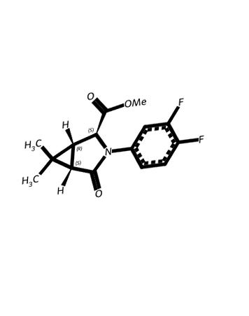 COC(=O)[C@@H]1[C@@H]2[C@H](C(=O)N1c1ccc(F)c(F)c1)C2(C)C